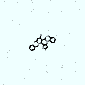 Cc1cc(=O)c(C(=O)Nc2ccccc2Cl)c(-c2ccco2)n1Cc1ccccc1